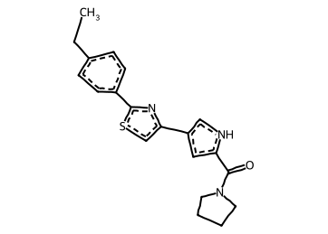 CCc1ccc(-c2nc(-c3c[nH]c(C(=O)N4CCCC4)c3)cs2)cc1